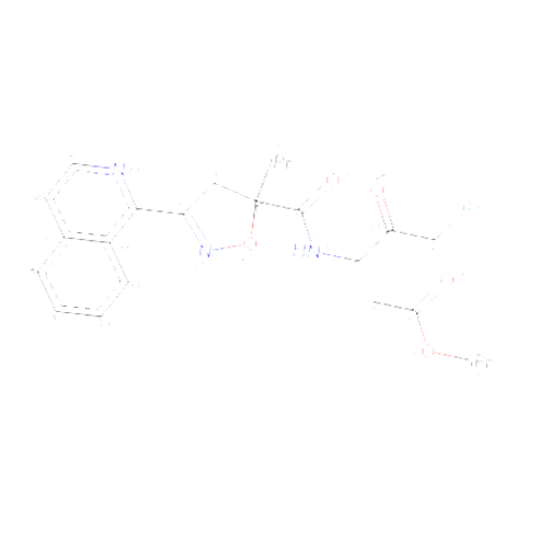 CC(C)OC(=O)C[C@H](NC(=O)C1(C(C)C)CC(c2nccc3ccccc23)=NO1)C(=O)CF